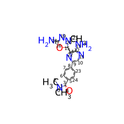 CN(C)C(=O)c1ccc(-c2cnc(N)c(C3OC(N)=NN3C)n2)cc1